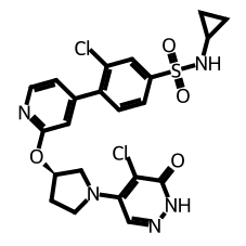 O=c1[nH]ncc(N2CC[C@@H](Oc3cc(-c4ccc(S(=O)(=O)NC5CC5)cc4Cl)ccn3)C2)c1Cl